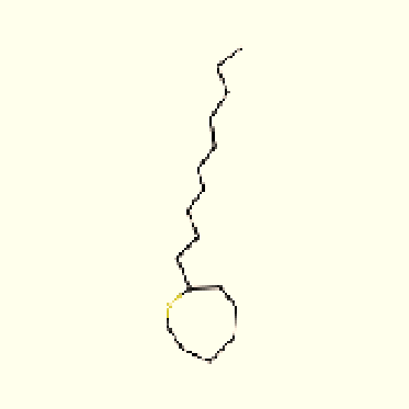 CCCCCCCCCC[C]1CCCCCCS1